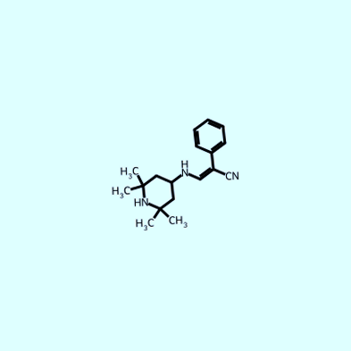 CC1(C)CC(NC=C(C#N)c2ccccc2)CC(C)(C)N1